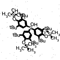 CC(C)(C)c1cc([Si](O)(c2cc(C(C)(C)C)c(O[Si](C)(C)C)c(C(C)(C)C)c2)c2cc(C(C)(C)C)c(O[Si](C)(C)C)c(C(C)(C)C)c2)cc(C(C)(C)C)c1O[Si](C)(C)C